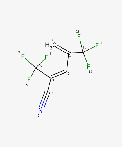 C=C(/C=C(/C#N)C(F)(F)F)C(F)(F)F